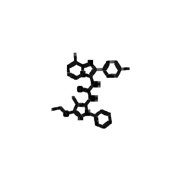 CCOc1nn(-c2ccccc2)c(NC(=O)Nc2c(-c3ccc(C)cc3)nc3c(C)cccn23)c1C